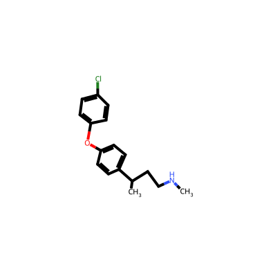 CNCCC(C)c1ccc(Oc2ccc(Cl)cc2)cc1